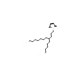 CCCCCCCCC(CCCCCC)CCCN1C(=O)C=CC1=O